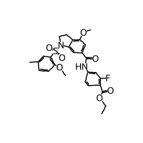 CCOC(=O)c1ccc(NC(=O)c2cc(OC)c3c(c2)N(S(=O)(=O)c2cc(C)ccc2OC)CC3)cc1F